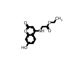 CCOC(=O)CNc1cc(=O)oc2cc(O)ccc12